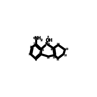 Nc1cccc2c1N(O)C1=C(CCCC1)C2